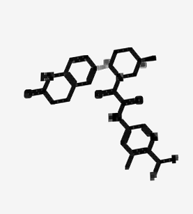 Cc1cc(NC(=O)C(=O)N2C[C@H](C)CC[C@H]2c2ccc3c(c2)CCC(=O)N3)cnc1C(F)F